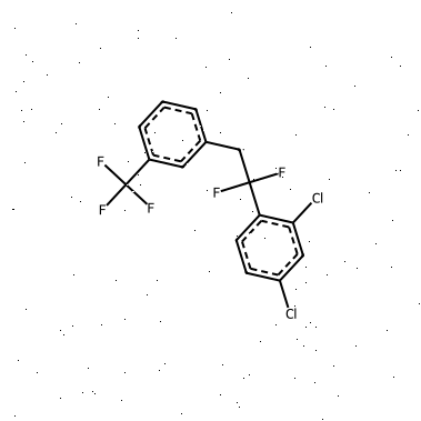 FC(F)(F)c1cccc([CH]C(F)(F)c2ccc(Cl)cc2Cl)c1